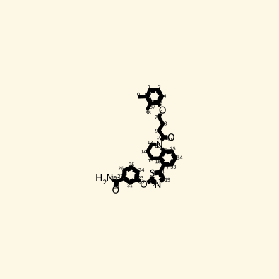 Cc1cccc(OCCCC(=O)N2CCCc3c(-c4cnc(Oc5cccc(C(N)=O)c5)s4)cccc32)c1C